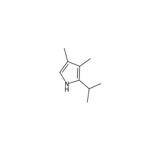 Cc1c[nH]c(C(C)C)c1C